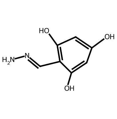 NN=Cc1c(O)cc(O)cc1O